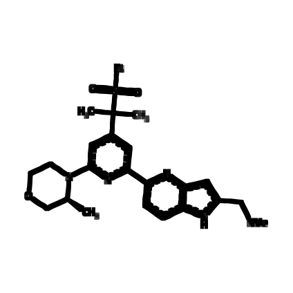 CCS(=O)(=O)C(C)(C)c1cc(-c2ccc3[nH]c(CNC)cc3n2)nc(N2CCOC[C@@H]2C)c1